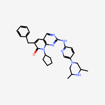 CC1CN(c2ccc(Nc3ncc4cc(Cc5ccccc5)c(=O)n(C5CCCC5)c4n3)nc2)CC(C)N1